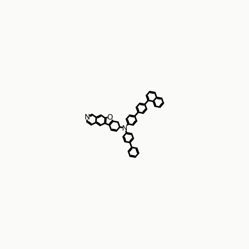 C1=CC(N(c2ccc(-c3ccccc3)cc2)c2ccc(-c3ccc(-c4cccc5ccccc45)cc3)cc2)Cc2oc3cc4cnccc4cc3c21